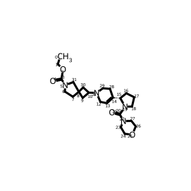 CCOC(=O)N1CCC2(CC(N3CC=C([C@@H]4CCCN4C(=O)N4CCOCC4)CC3)C2)C1